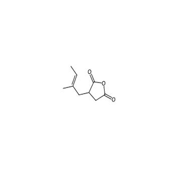 CC=C(C)CC1CC(=O)OC1=O